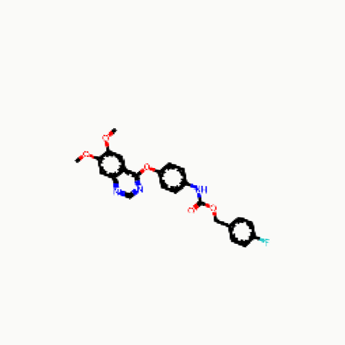 COc1cc2ncnc(Oc3ccc(NC(=O)OCc4ccc(F)cc4)cc3)c2cc1OC